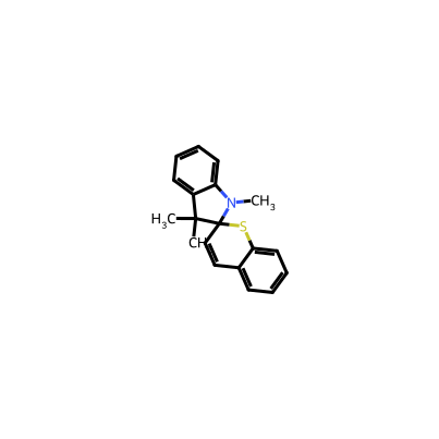 CN1c2ccccc2C(C)(C)C12C=Cc1ccccc1S2